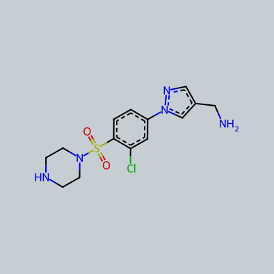 NCc1cnn(-c2ccc(S(=O)(=O)N3CCNCC3)c(Cl)c2)c1